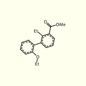 CCOc1ccccc1-c1cccc(C(=O)OC)c1CC